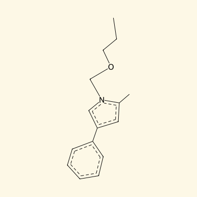 CCCOCn1cc(-c2ccccc2)cc1C